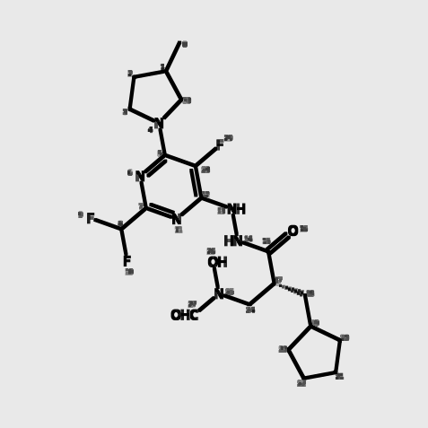 CC1CCN(c2nc(C(F)F)nc(NNC(=O)[C@H](CC3CCCC3)CN(O)C=O)c2F)C1